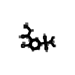 CN(C)S(=O)(=O)c1ccc(Cl)c(C(=O)CBr)c1